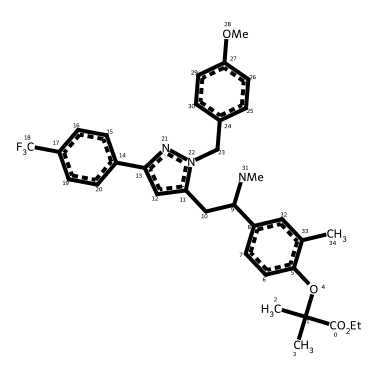 CCOC(=O)C(C)(C)Oc1ccc(C(Cc2cc(-c3ccc(C(F)(F)F)cc3)nn2Cc2ccc(OC)cc2)NC)cc1C